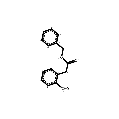 O=Cc1ccccc1CC(=O)OCc1ccccc1